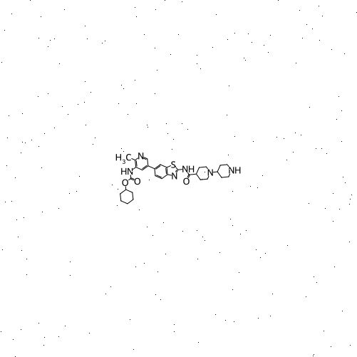 Cc1ncc(-c2ccc3nc(NC(=O)C4CCN(C5CCNCC5)CC4)sc3c2)cc1NC(=O)OC1CCCCC1